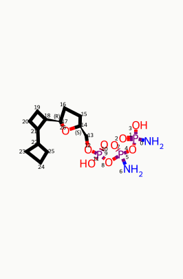 NP(=O)(O)OP(N)(=O)OP(=O)(O)OC[C@@H]1CC[C@H](C2CCC2C2CCC2)O1